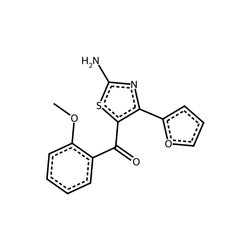 COc1ccccc1C(=O)c1sc(N)nc1-c1ccco1